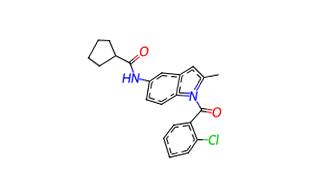 Cc1cc2cc(NC(=O)C3CCCC3)ccc2n1C(=O)c1ccccc1Cl